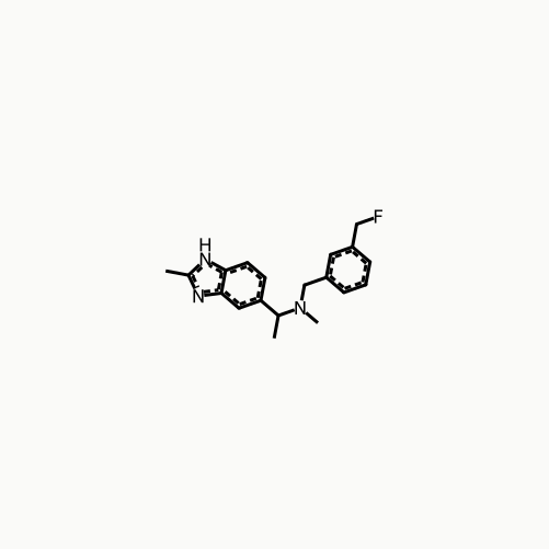 Cc1nc2cc(C(C)N(C)Cc3cccc(CF)c3)ccc2[nH]1